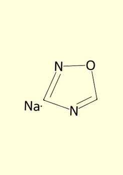 [Na].c1ncon1